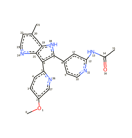 COc1ccc(-c2c(-c3ccnc(NC(C)=O)c3)[nH]c3c(C)ccnc23)nc1